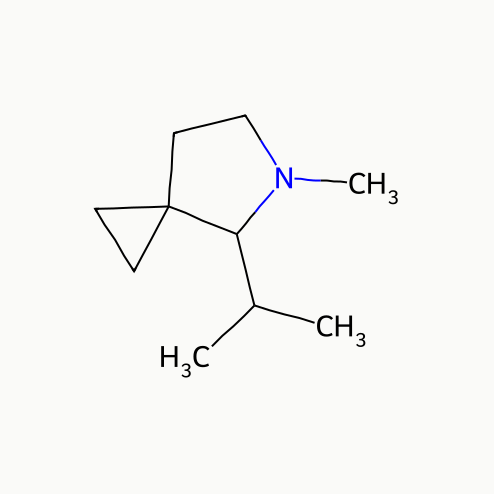 CC(C)C1N(C)CCC12CC2